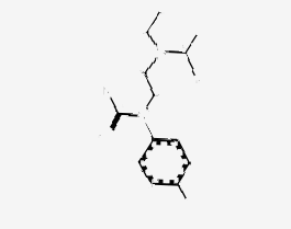 CCN(CCN(C(N)=O)c1ccc(O)cc1)C(C)C